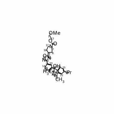 COCCOC(=O)N1CCC(c2nc(-c3cncc(C(O)(c4ccc(C(C)C)cc4)C4(C)CN(C)C4)c3)no2)CC1